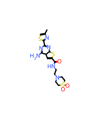 Cc1csc(C2=NC3SC(C(=O)NCCN4CCS(=O)(=O)CC4)=CC3C(N)=N2)n1